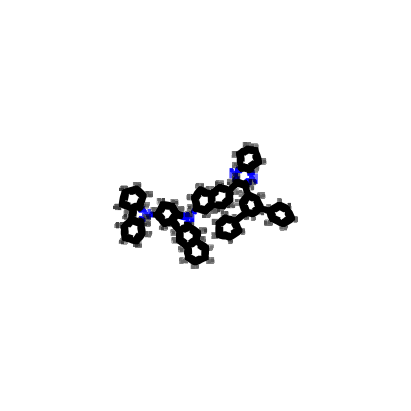 c1ccc(-c2cc(-c3ccccc3)cc(-c3nc4ccccc4nc3-c3ccc4cc(-n5c6ccc(-n7c8ccccc8c8ccccc87)cc6c6cc7ccccc7cc65)ccc4c3)c2)cc1